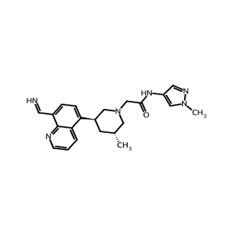 C[C@@H]1C[C@@H](c2ccc(C=N)c3ncccc23)CN(CC(=O)Nc2cnn(C)c2)C1